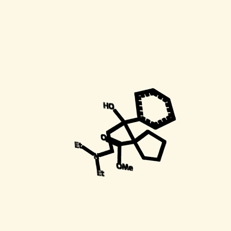 CCN(CC)CCC(O)(c1ccccc1)C1(C(=O)OC)CCCC1